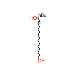 CCCC[C@@H](O)/C=C/CCCCCCCCCCCCO